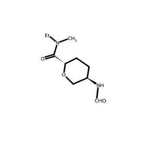 CCN(C)C(=O)[C@@H]1CC[C@@H](NC=O)CO1